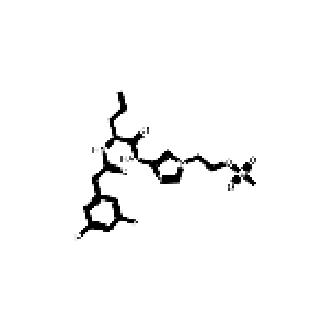 CCCC(NC(=O)Cc1cc(F)cc(F)c1)C(=O)[AsH]c1cn(CCOS(C)(=O)=O)cn1